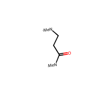 C[N]CCC(=O)NC